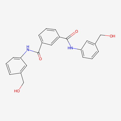 O=C(Nc1cccc(CO)c1)c1cccc(C(=O)Nc2cccc(CO)c2)c1